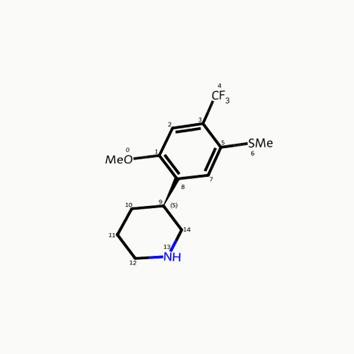 COc1cc(C(F)(F)F)c(SC)cc1[C@@H]1CCCNC1